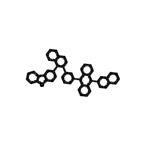 c1cc(-c2ccc3ccccc3c2-c2ccc3oc4ccccc4c3c2)cc(-c2c3ccccc3c(-c3ccc4ccccc4c3)c3ccccc23)c1